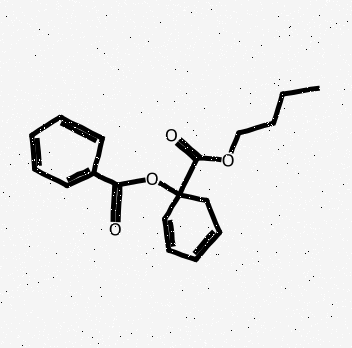 CCCCOC(=O)C1(OC(=O)c2ccccc2)C=CC=CC1